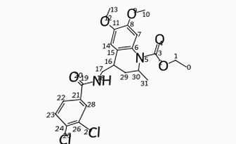 CCOC(=O)N1c2cc(OC)c(OC)cc2C(CNC(=O)c2ccc(Cl)c(Cl)c2)CC1C